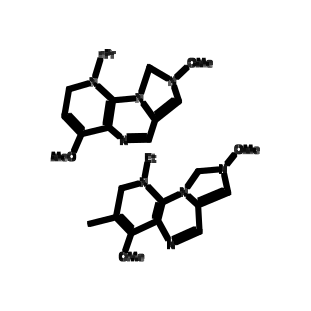 CCCN1CC=C(OC)C2=C1N1CN(OC)C=C1C=N2.CCN1CC(C)=C(OC)C2=C1N1CN(OC)C=C1C=N2